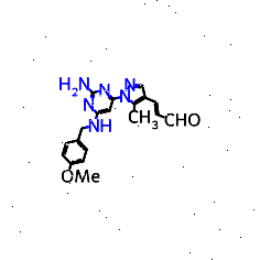 COc1ccc(CNc2cc(-n3ncc(C=CC=O)c3C)nc(N)n2)cc1